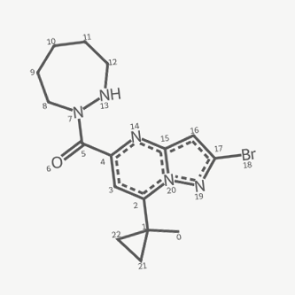 CC1(c2cc(C(=O)N3CCCCCN3)nc3cc(Br)nn23)CC1